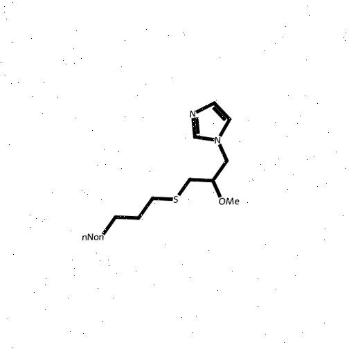 CCCCCCCCCCCCSCC(Cn1ccnc1)OC